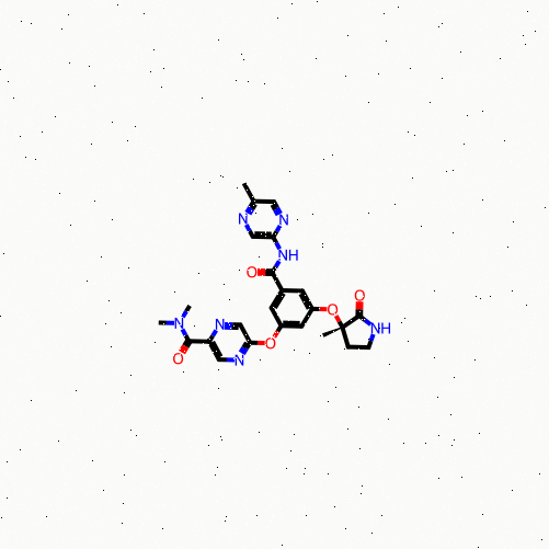 Cc1cnc(NC(=O)c2cc(Oc3cnc(C(=O)N(C)C)cn3)cc(O[C@@]3(C)CCNC3=O)c2)cn1